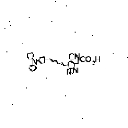 [C-]#[N+]/C(=C\c1ccc(/C=C/C=C/C=C/c2ccc(N(c3ccccc3)c3ccccc3)cc2)c2c1=NCN=2)C(=O)O